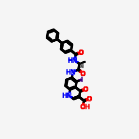 C[C@H](NC(=O)c1ccc(-c2ccccc2)cc1)C(=O)Nc1ccc2[nH]cc(C(=O)O)c(=O)c2c1I